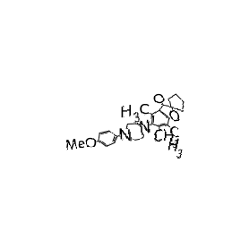 COc1ccc(N2CCN(c3c(C)c(C)c4c(c3C)C(=O)C3(CCCC3)O4)CC2)cc1